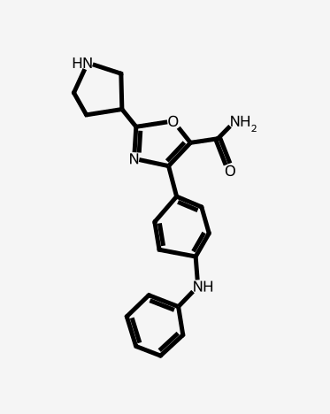 NC(=O)c1oc(C2CCNC2)nc1-c1ccc(Nc2ccccc2)cc1